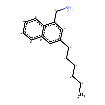 CCCCCCc1cc(CN)c2ccccc2c1